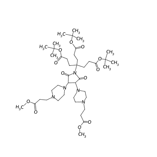 COC(=O)CCN1CCN(C2C(=O)N(C(CCC(=O)OC(C)(C)C)(CCC(=O)OC(C)(C)C)CCC(=O)OC(C)(C)C)C(=O)C2N2CCN(CCC(=O)OC)CC2)CC1